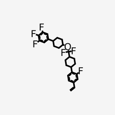 C=Cc1ccc(C2CCC(C(F)(F)OC3CCC(c4cc(F)c(F)c(F)c4)CC3)CC2)c(F)c1